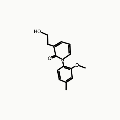 COc1cc(C)ccc1-n1cccc(CCO)c1=O